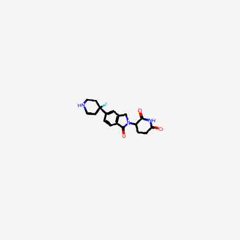 O=C1CCC(N2Cc3cc(C4(F)CCNCC4)ccc3C2=O)C(=O)N1